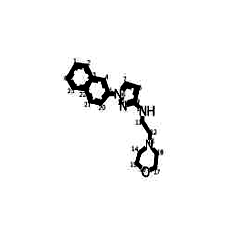 c1ccc2cc(-n3ccc(NCCN4CCOCC4)n3)ccc2c1